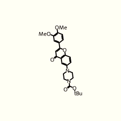 COc1ccc(-c2cc(=O)c3cc(N4CCN(C(=O)OC(C)(C)C)CC4)ccc3o2)cc1OC